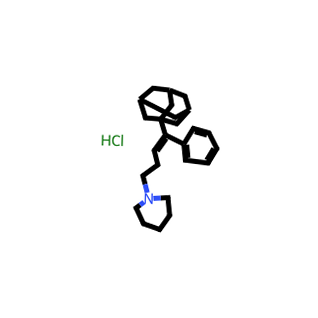 C(/CCN1CCCCC1)=C(/c1ccccc1)C12CC3CC(CC(C3)C1)C2.Cl